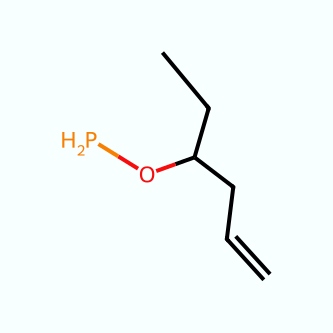 C=CCC(CC)OP